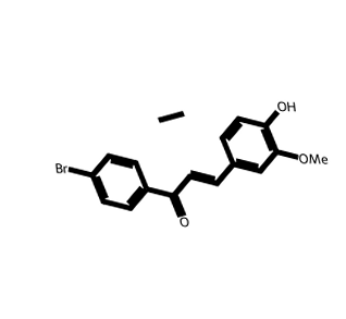 CC.COc1cc(/C=C/C(=O)c2ccc(Br)cc2)ccc1O